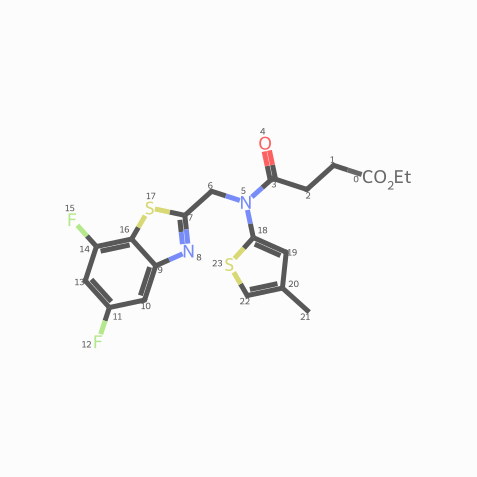 CCOC(=O)CCC(=O)N(Cc1nc2cc(F)cc(F)c2s1)c1cc(C)cs1